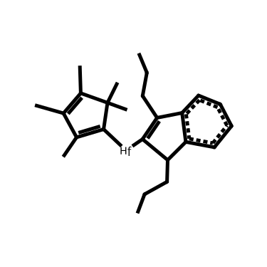 CCCC1=[C]([Hf][C]2=C(C)C(C)=C(C)C2(C)C)C(CCC)c2ccccc21